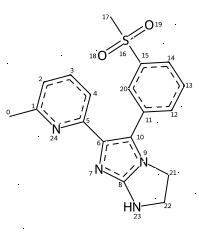 Cc1cccc(-c2nc3n(c2-c2cccc(S(C)(=O)=O)c2)CCN3)n1